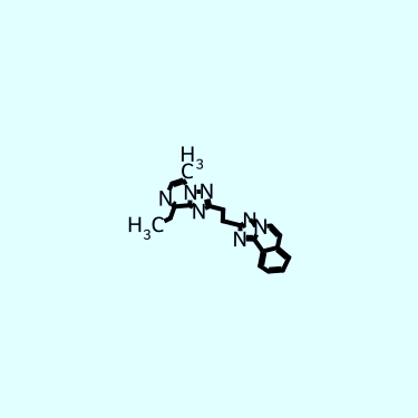 CCc1ncc(C)n2nc(CCc3nc4c5ccccc5ccn4n3)nc12